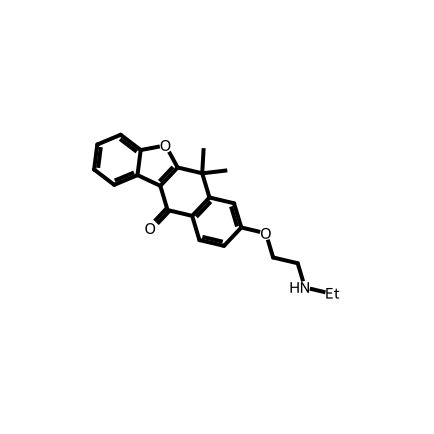 CCNCCOc1ccc2c(c1)C(C)(C)c1oc3ccccc3c1C2=O